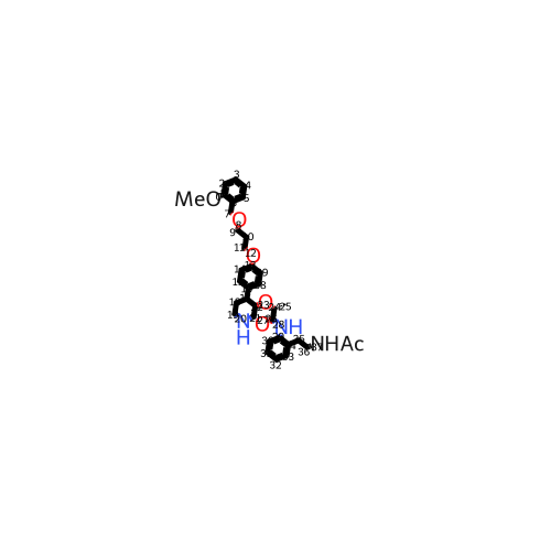 COc1ccccc1COCCCOc1ccc(C2CCNCC2O[C@H](C)C(=O)Nc2ccccc2CCNC(C)=O)cc1